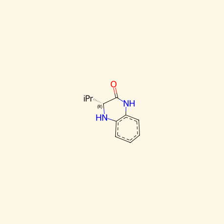 CC(C)[C@H]1Nc2ccccc2NC1=O